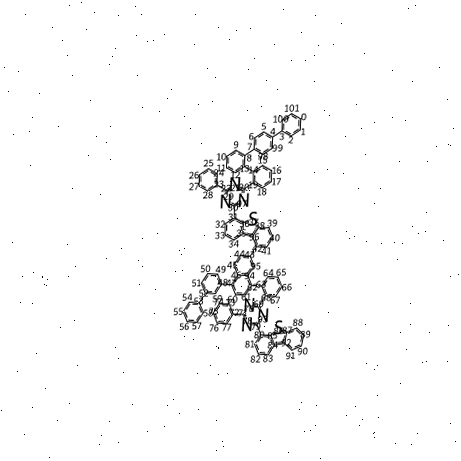 c1ccc(-c2ccc(-c3ccccc3-c3ccccc3-c3nc(-c4ccccc4)nc(-c4cccc5c4sc4cccc(-c6ccc7c(-c8cccc(-c9ccccc9)c8)ccc(-c8ccccc8-c8nc(-c9ccccc9)nc(-c9cccc%10c9sc9ccccc9%10)n8)c7c6)c45)n3)cc2)cc1